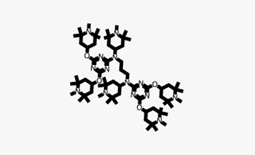 CN1C(C)(C)CC(Oc2nc(OC3CC(C)(C)N(C)C(C)(C)C3)nc(N(CCCN(c3nc(OC4CC(C)(C)N(C)C(C)(C)C4)nc(OC4CC(C)(C)N(C)C(C)(C)C4)n3)C3CC(C)(C)N(C)C(C)(C)C3)C3CC(C)(C)N(C)C(C)(C)C3)n2)CC1(C)C